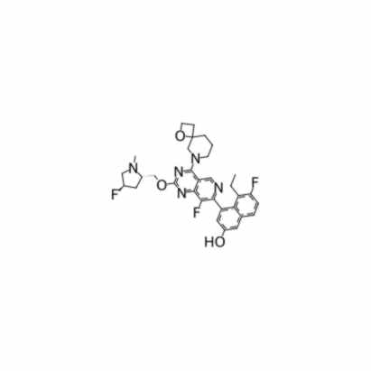 CCc1c(F)ccc2cc(O)cc(-c3ncc4c(N5CCCC6(CCO6)C5)nc(OC[C@@H]5C[C@@H](F)CN5C)nc4c3F)c12